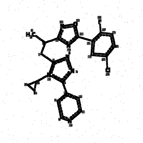 CC(Cc1nnc(-c2ccncc2)n1C1CC1)c1noc(-c2cc(Cl)ccc2F)n1